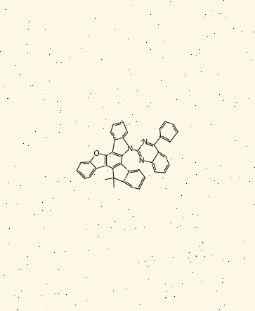 CC1(C)c2ccccc2-c2c1c1c3ccccc3oc1c1c3ccccc3n(-c3nc(-c4ccccc4)c4ccccc4n3)c21